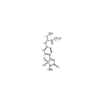 CC(C)(C)N1C(=O)C=C(c2ccc(C[C@@H](CO)NC(=O)O)cc2)S1(=O)=O